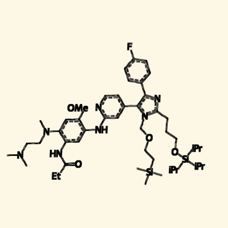 CCC(=O)Nc1cc(Nc2cc(-c3c(-c4ccc(F)cc4)nc(CCCO[Si](C(C)C)(C(C)C)C(C)C)n3COCC[Si](C)(C)C)ccn2)c(OC)cc1N(C)CCN(C)C